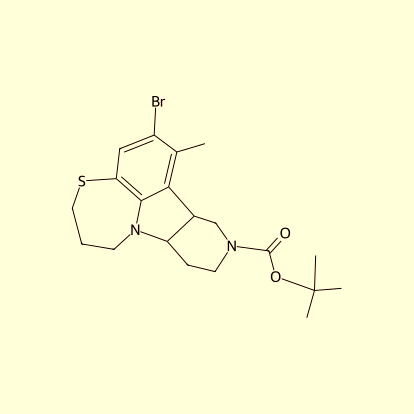 Cc1c(Br)cc2c3c1C1CN(C(=O)OC(C)(C)C)CCC1N3CCCS2